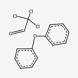 O=CC(Cl)(Cl)Cl.c1ccc(Oc2ccccc2)cc1